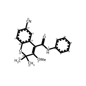 COC1=C(C(=O)Nc2ccccc2)c2cc(C#N)ccc2OC1(C)C